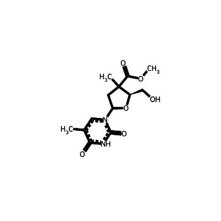 COC(=O)C1(C)CC(n2cc(C)c(=O)[nH]c2=O)O[C@@H]1CO